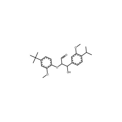 COc1cc(C(C)(C)C)ccc1OC(C=O)C(O)c1ccc(C(C)C)c(OC)c1